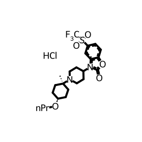 CCCO[C@H]1CC[C@](C)(N2CCC(n3c(=O)oc4ccc(S(=O)(=O)C(F)(F)F)cc43)CC2)CC1.Cl